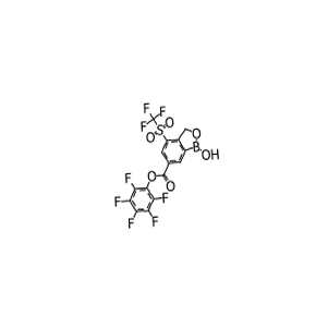 O=C(Oc1c(F)c(F)c(F)c(F)c1F)c1cc2c(c(S(=O)(=O)C(F)(F)F)c1)COB2O